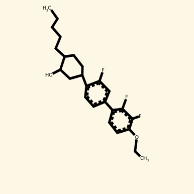 CCCCCC1CCC(c2ccc(-c3ccc(OCC)c(F)c3F)cc2F)CC1O